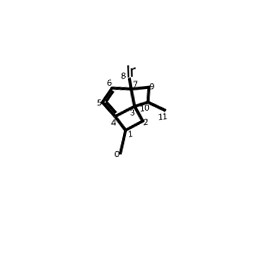 CC1CC23C1=C=C[C]2([Ir])CC3C